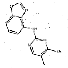 Cc1cnc(Nc2cccc3ocnc23)nc1C(C)(C)C